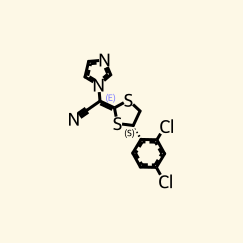 N#C/C(=C1/SC[C@H](c2ccc(Cl)cc2Cl)S1)n1ccnc1